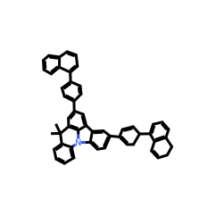 CC1(C)c2ccccc2-n2c3ccc(C4=CCC(c5cccc6c5C=CCC6)C=C4)cc3c3cc(-c4ccc(-c5cccc6ccccc56)cc4)cc1c32